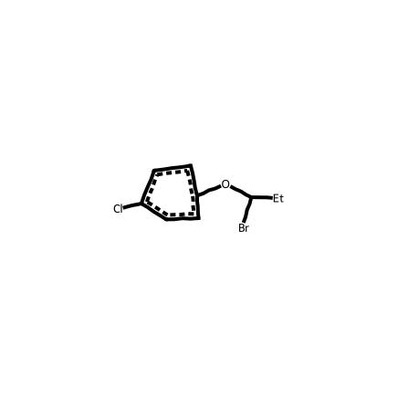 CCC(Br)Oc1ccc(Cl)cc1